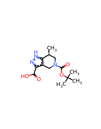 C[C@H]1CN(C(=O)OC(C)(C)C)Cc2c(C(=O)O)n[nH]c21